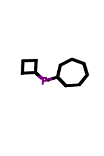 C1CCCC([P]C2CCC2)CC1